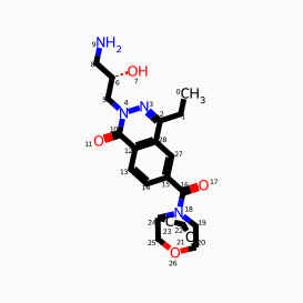 CCc1nn(C[C@@H](O)CN)c(=O)c2ccc(C(=O)N3CC4CCCC3CO4)cc12